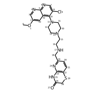 COc1cnc2ncc(Cl)c(N3CCN(CCNCc4ccc5c(n4)NC(=O)CS5)CC3)c2c1